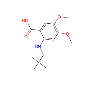 COc1cc(NCC(C)(C)C)c(C(=O)O)cc1OC